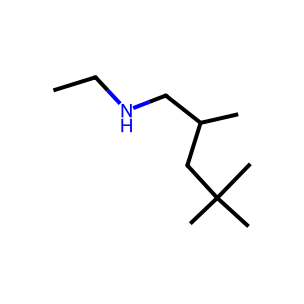 CCNCC(C)CC(C)(C)C